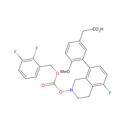 COc1ccc(CC(=O)O)cc1-c1ccc(F)c2c1CN(OC(=O)OCc1cccc(F)c1F)CC2